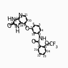 O=C(Nc1cccc(Oc2ccnc3[nH]c(=O)[nH]c23)c1)c1ccccc1OC(F)(F)F